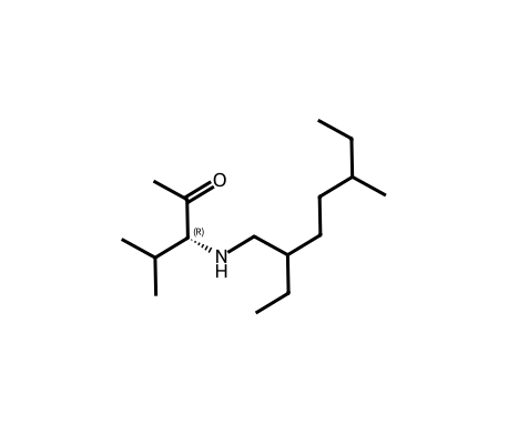 CCC(C)CCC(CC)CN[C@@H](C(C)=O)C(C)C